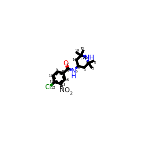 CC1(C)CC(NC(=O)c2ccc(Cl)c([N+](=O)[O-])c2)CC(C)(C)N1